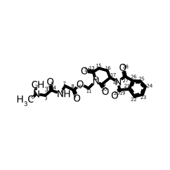 CN(C)CC(=O)NCC(=O)OCN1C(=O)CCC(N2C(=O)c3ccccc3C2=O)C1=O